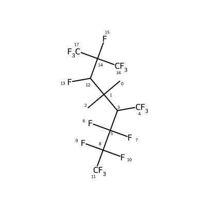 CC(C)(C(C(F)(F)F)C(F)(F)C(F)(F)C(F)(F)F)C(F)C(F)(C(F)(F)F)C(F)(F)F